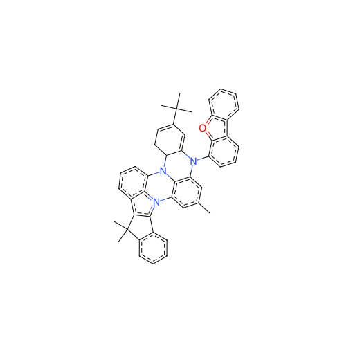 Cc1cc2c3c(c1)-n1c4c(c5cccc(c51)N3C1CC=C(C(C)(C)C)C=C1N2c1cccc2c1oc1ccccc12)C(C)(C)c1ccccc1-4